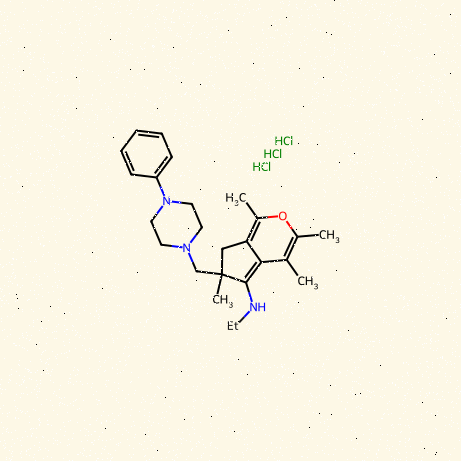 CCNC1=C2C(C)=C(C)OC(C)=C2CC1(C)CN1CCN(c2ccccc2)CC1.Cl.Cl.Cl